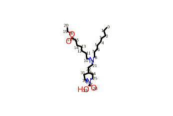 CCCCCCCCCN(CCCCCCC(=O)OCC)CCC1CCN(C(=O)O)CC1